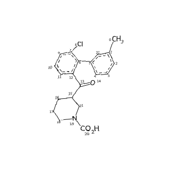 Cc1cccc(-c2c(Cl)cccc2C(=O)C2CCCN(C(=O)O)C2)c1